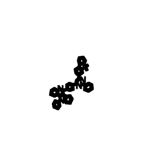 CC1(C)c2ccccc2-c2ccc(-c3cc(-c4ccc(-c5nc6ccccc6c6c5c5ccccc5n6-c5ccccc5)cc4)nc(-c4ccccc4)n3)cc21